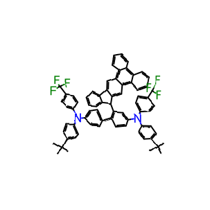 CC(C)(C)c1ccc(N(c2ccc(-c3ccc(N(c4ccc(C(C)(C)C)cc4)c4ccc(C(F)(F)F)cc4)cc3C3c4ccccc4-c4cc5c6ccccc6c6ccccc6c5cc43)cc2)c2ccc(C(F)(F)F)cc2)cc1